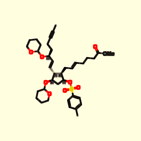 CC#CCC[C@@H](C=C[C@@H]1[C@@H](CC=CCCCC(=O)OC)[C@@H](OS(=O)(=O)c2ccc(C)cc2)C[C@H]1OC1CCCCO1)OC1CCCCO1